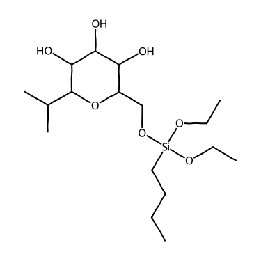 CCCC[Si](OCC)(OCC)OCC1OC(C(C)C)C(O)C(O)C1O